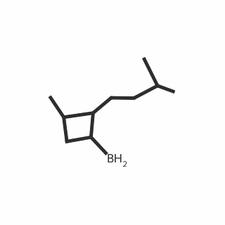 BC1CC(C)C1CCC(C)C